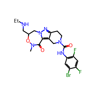 CCNCC1Cn2nc3c(c2C(=O)N(C)O1)CN(C(=O)Nc1cc(Br)c(F)cc1F)CC3